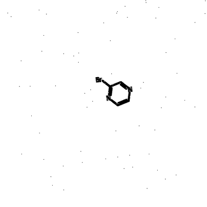 Brc1cnccn1